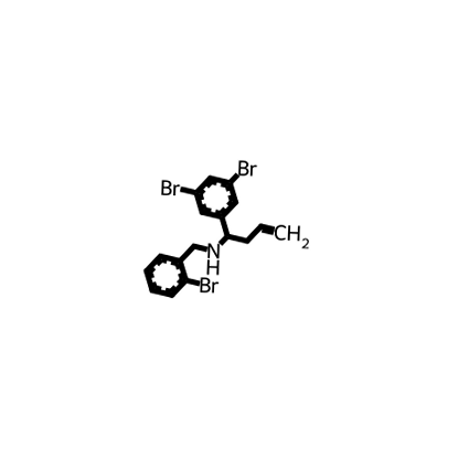 C=CCC(NCc1ccccc1Br)c1cc(Br)cc(Br)c1